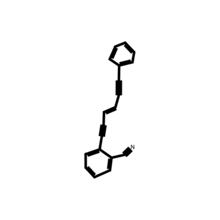 N#Cc1ccccc1C#CC=CC#Cc1ccccc1